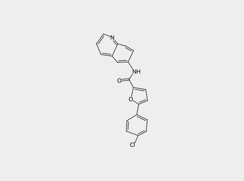 O=C(Nc1ccc2ncccc2c1)c1ccc(-c2ccc(Cl)cc2)o1